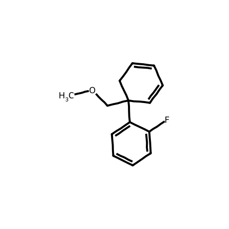 COCC1(c2ccccc2F)C=CC=CC1